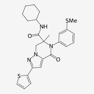 CSc1cccc(N2C(=O)c3cc(-c4cccs4)nn3CC2(C)C(=O)NC2CCCCC2)c1